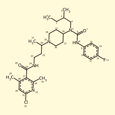 CCC(C)CN(C(=O)Nc1ccc(F)cc1)C1CCN(C(C)CCNC(=O)c2c(C)cc(Cl)nc2C)CC1